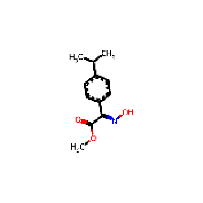 COC(=O)/C(=N/O)c1ccc(C(C)C)cc1